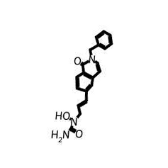 NC(=O)N(O)CC=Cc1ccc2c(=O)n(Cc3ccccc3)ccc2c1